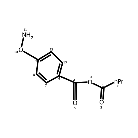 CCCC(=O)OC(=O)c1ccc(ON)cc1